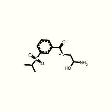 CC(C)S(=O)(=O)c1cccc(C(=O)NCC(N)O)c1